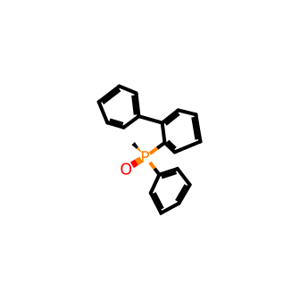 C[P@](=O)(c1ccccc1)c1ccccc1-c1ccccc1